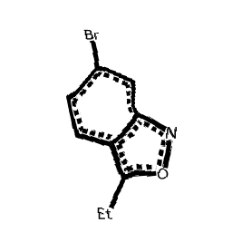 CCc1onc2cc(Br)ccc12